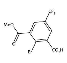 COC(=O)c1cc(C(F)(F)F)cc(C(=O)O)c1Br